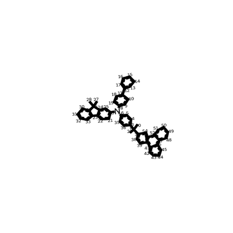 CC(C)(c1ccc(N(c2ccc(-c3ccccc3)cc2)c2ccc3c(c2)C(C)(C)c2ccccc2-3)cc1)c1ccc2c3ccccc3c3ccccc3c2c1